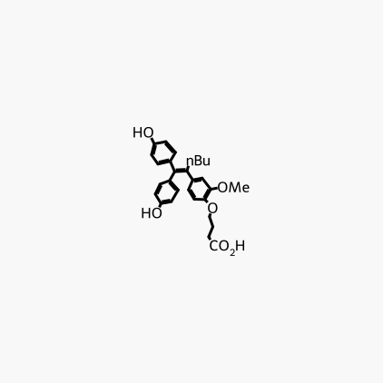 CCCCC(=C(c1ccc(O)cc1)c1ccc(O)cc1)c1ccc(OCCCC(=O)O)c(OC)c1